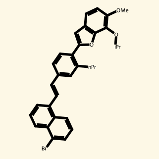 CCCc1cc(/C=C/c2cccc3c(Br)cccc23)ccc1-c1cc2ccc(OC)c(OC(C)C)c2o1